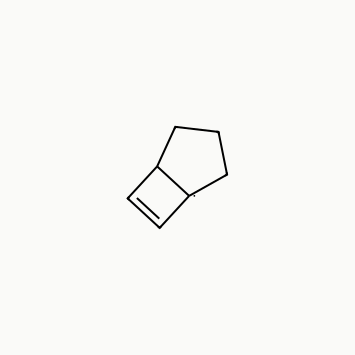 C1=CC2CCC[C]12